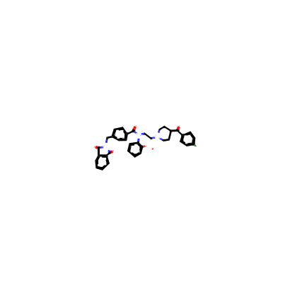 COc1ccccc1N(CCN1CCC(C(=O)c2ccc(F)cc2)CC1)C(=O)c1ccc(CN2C(=O)c3ccccc3C2=O)cc1